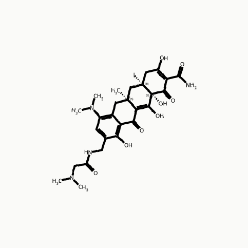 CN(C)CC(=O)NCc1cc(N(C)C)c2c(c1O)C(=O)C1=C(O)[C@]3(O)C(=O)C(C(N)=O)=C(O)C[C@]3(I)C[C@]1(C)C2